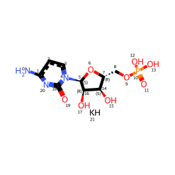 Nc1ccn([C@H]2O[C@H](COP(=O)(O)O)[C@@H](O)[C@H]2O)c(=O)n1.[KH]